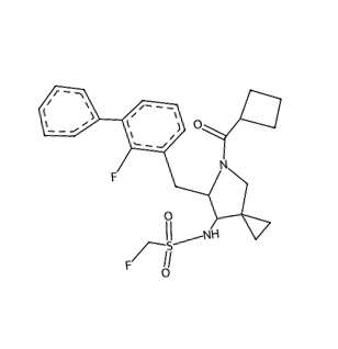 O=C(C1CCC1)N1CC2(CC2)C(NS(=O)(=O)CF)C1Cc1cccc(-c2ccccc2)c1F